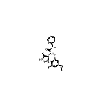 COc1cc(F)c([C@@H]2CNC(=O)[C@H]2NC(=O)Nc2ccncn2)c(F)c1